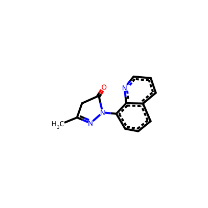 CC1=NN(c2cccc3cccnc23)C(=O)C1